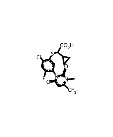 Cn1c(C(F)(F)F)cc(=O)n(-c2cc(SC(C(=O)O)C3CC3)c(Cl)cc2F)c1=O